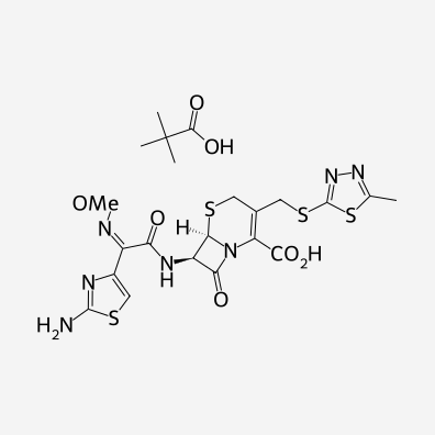 CC(C)(C)C(=O)O.CO/N=C(\C(=O)N[C@@H]1C(=O)N2C(C(=O)O)=C(CSc3nnc(C)s3)CS[C@H]12)c1csc(N)n1